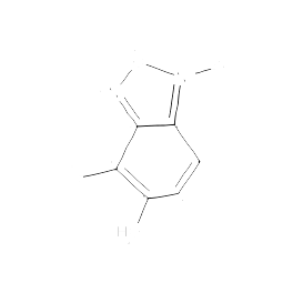 [O-][n+]1onc2c(O)c(O)ccc21